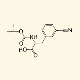 CC(C)(C)OC(=O)NC(Cc1cccc(C#N)c1)C(=O)O